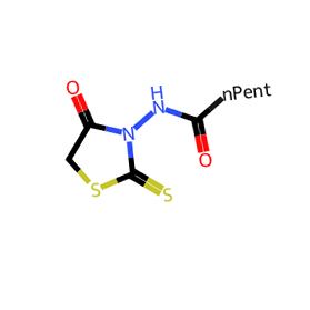 CCCCCC(=O)NN1C(=O)CSC1=S